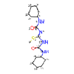 CSC(=NC(=O)NC1CCCCC1)NC(=O)NC1CCCCC1